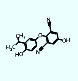 CC(C)c1cc(Oc2c(C#N)cc(O)cc2C#N)ccc1O